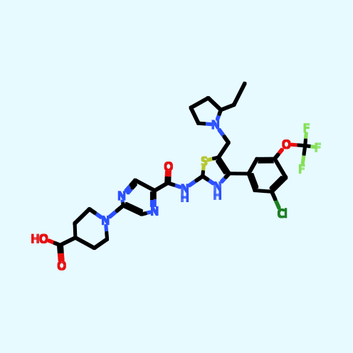 CCC1CCCN1CC1=C(c2cc(Cl)cc(OC(F)(F)F)c2)NC(NC(=O)c2cnc(N3CCC(C(=O)O)CC3)cn2)S1